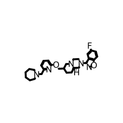 Fc1ccc2onc(N3CCN4CC(COc5cccc(CN6CCCCCC6)n5)CC[C@H]4C3)c2c1